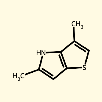 Cc1cc2scc(C)c2[nH]1